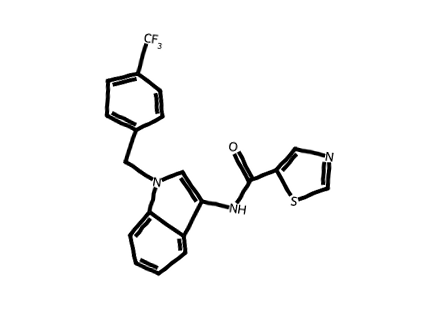 O=C(Nc1cn(Cc2ccc(C(F)(F)F)cc2)c2ccccc12)c1cncs1